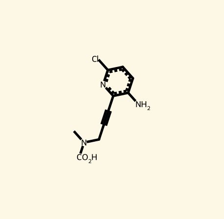 CN(CC#Cc1nc(Cl)ccc1N)C(=O)O